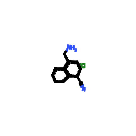 Cl.N#Cc1ccc(CN)c2ccccc12